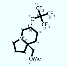 COC[C@@]12CCCN1C[C@H](OC(C(F)(F)F)(C(F)(F)F)C(F)(F)F)CC2